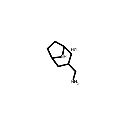 Cl.NCC1CC2CCC(C1)N2